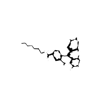 CCCCCCCNC(=O)c1ccc(-c2c3cc(F)c(=O)cc-3oc3cc(O)c(F)cc23)c(C(=O)O)c1